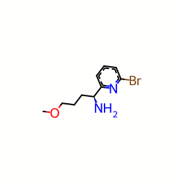 COCCC[C@H](N)c1cccc(Br)n1